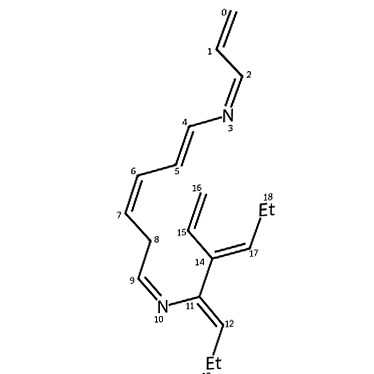 C=C\C=N/C=C/C=C\C\C=N/C(=C\CC)C(/C=C)=C/CC